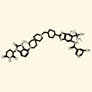 Cn1c(=O)n(C2CCC(=O)NC2=O)c2cccc(N3CCC4(CCN(CC5CCC(c6nc7cc(C(C)(C)O)c(NC(=O)c8cncc(C#N)c8)cc7s6)CC5)CC4)CC3)c21